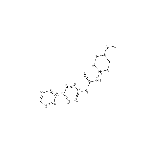 COC1CCN(NC(=O)Oc2cnc(-c3ccccc3)nc2)CC1